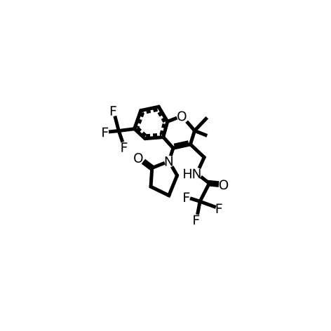 CC1(C)Oc2ccc(C(F)(F)F)cc2C(N2CCCC2=O)=C1CNC(=O)C(F)(F)F